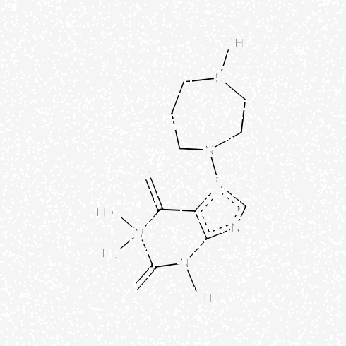 CN1CCCN(n2cnc3c2C(=O)[N+](C)(C)C(=O)N3C)CC1